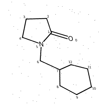 O=C1CCCN1CC1CCCCC1